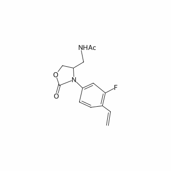 C=Cc1ccc(N2C(=O)OCC2CNC(C)=O)cc1F